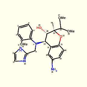 COc1ccccc1N(Cc1ncc[nH]1)[C@@H]1c2cc(N)ccc2O[C@](C)(C(OC)OC)[C@H]1O